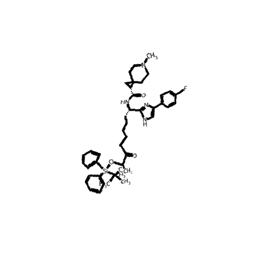 CC(O[Si](c1ccccc1)(c1ccccc1)C(C)(C)C)C(=O)CCCCC[C@H](NC(=O)[C@@H]1CC12CCN(C)CC2)c1nc(-c2ccc(F)cc2)c[nH]1